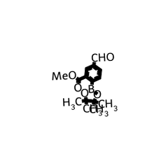 COC(=O)c1cc(C=O)ccc1B1OC(C)(C)C(C)(C)O1